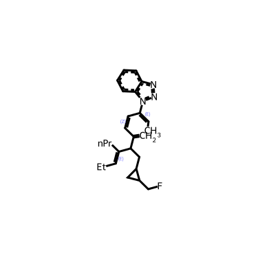 C=C(/C=C\C(=C/C)n1nnc2ccccc21)C(CC1CC1CF)/C(=C/CC)CCC